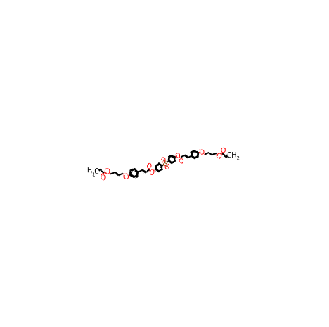 C=CC(=O)OCCCCOc1ccc(/C=C/C(=O)Oc2ccc(S(=O)(=O)c3ccc(OC(=O)/C=C/c4ccc(OCCCCOC(=O)C=C)cc4)cc3)cc2)cc1